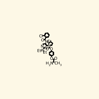 CCN(CC)c1ncc(N(CC)C(=O)c2ccccc2Cl)c([N+]2(C(=O)Oc3ccc(OC(=O)[C@H](C)N)cc3)CCCC2)n1